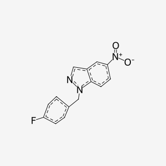 O=[N+]([O-])c1ccc2c(cnn2Cc2ccc(F)cc2)c1